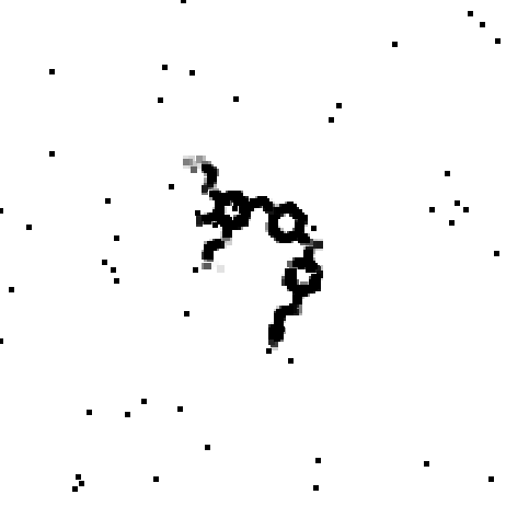 CCOc1cc(CN2CCC(Nc3ncc(OCC#N)cn3)CC2)cc(OCC)c1F